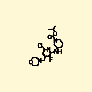 CC(C)OC(=O)N1CCC[C@H](Nc2nc(Cl)cc(CN3CCOCC3)c2F)C1